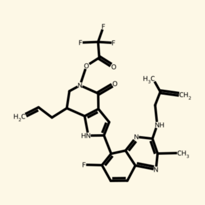 C=CCC1CN(OC(=O)C(F)(F)F)C(=O)c2cc(-c3c(F)ccc4nc(C)c(NCC(=C)C)nc34)[nH]c21